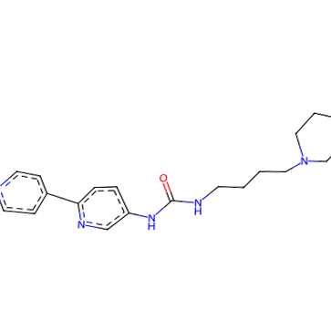 O=C(NCCCCN1CCCCC1)Nc1ccc(-c2ccncc2)nc1